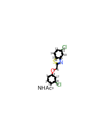 CC(=O)Nc1ccc(OCc2nc3cc(Cl)ccc3s2)cc1Cl